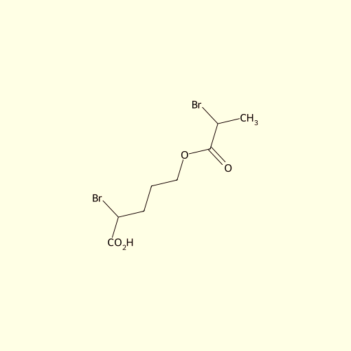 CC(Br)C(=O)OCCCC(Br)C(=O)O